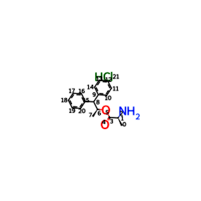 C[C@H](N)C(=O)O[C@@H](C)C(c1ccccc1)c1ccccc1.Cl